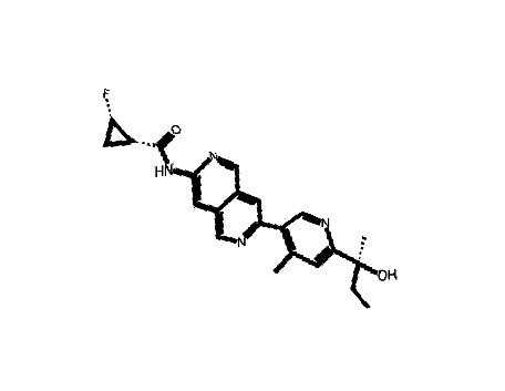 CC[C@](C)(O)c1cc(C)c(-c2cc3cnc(NC(=O)[C@@H]4C[C@@H]4F)cc3cn2)cn1